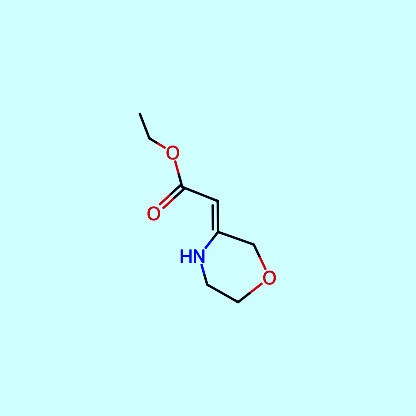 CCOC(=O)/C=C1/COCCN1